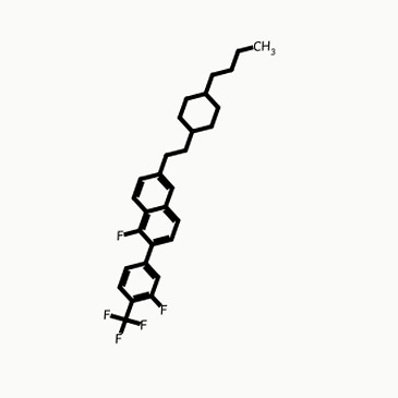 CCCCC1CCC(CCc2ccc3c(F)c(-c4ccc(C(F)(F)F)c(F)c4)ccc3c2)CC1